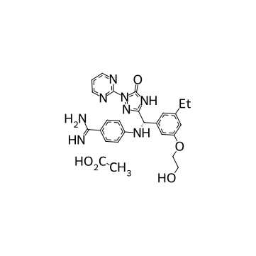 CC(=O)O.CCc1cc(OCCO)cc([C@H](Nc2ccc(C(=N)N)cc2)c2nn(-c3ncccn3)c(=O)[nH]2)c1